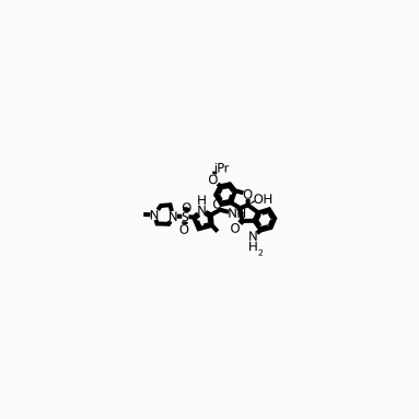 Cc1cc(S(=O)(=O)N2CCN(C)CC2)[nH]c1C(=O)N[C@@]12C(=O)c3c(N)cccc3[C@]1(O)Oc1cc(OC(C)C)ccc12